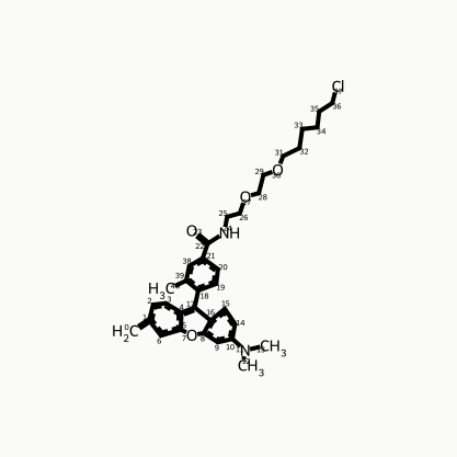 C=c1ccc2c(c1)Oc1cc(N(C)C)ccc1C=2c1ccc(C(=O)NCCOCCOCCCCCCCl)cc1C